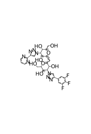 OCC1O[C@@H](S[C@@H]2O[C@H](CO)C(O)C(n3cc(-c4ncccn4)nn3)[C@H]2O)C(O)C(n2cc(-c3cc(F)c(F)c(F)c3)nn2)[C@H]1O